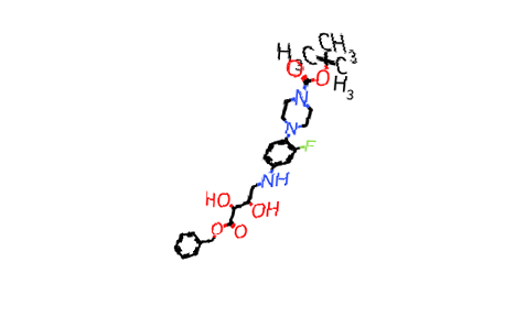 CC(C)(C)OC(=O)N1CCN(c2ccc(NCC(O)C(O)C(=O)OCc3ccccc3)cc2F)CC1